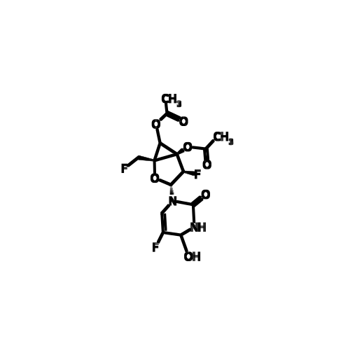 CC(=O)OC1[C@@]2(CF)O[C@@H](N3C=C(F)C(O)NC3=O)[C@H](F)[C@@]12OC(C)=O